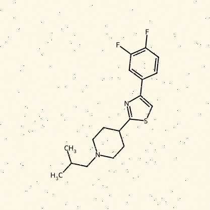 CC(C)CN1CCC(c2nc(-c3ccc(F)c(F)c3)cs2)CC1